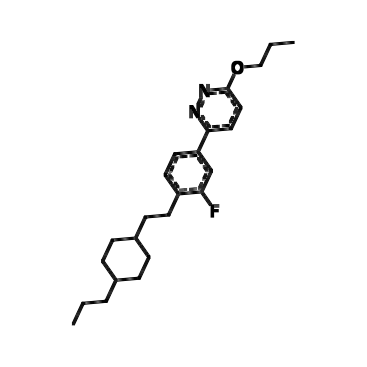 CCCOc1ccc(-c2ccc(CCC3CCC(CCC)CC3)c(F)c2)nn1